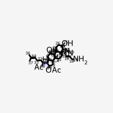 CC(=O)O[C@H]1C[C@@]2(C)[C@@H](C[C@@H](O)[C@@H]3[C@]2(C)CC[C@@]2(n4cc(CN)nn4)[C@H](C)[C@H](O)CC[C@]32C)/C1=C(\CCC=C(C)C)C(C)=O